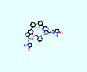 COc1nc(-c2cccc(-c3cccc(-c4cc5c(c(OCc6ccccn6)n4)C(NC[C@@H]4CCC(=O)N4)CC5)c3Cl)c2Cl)cnc1CN1CC2(CCC(=O)N2)C1